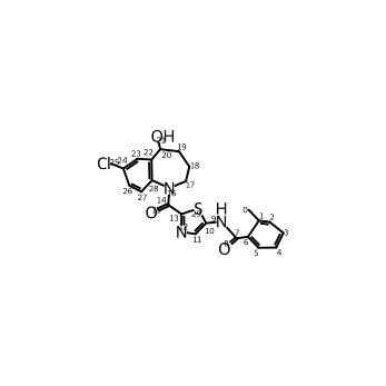 Cc1ccccc1C(=O)Nc1cnc(C(=O)N2CCCC(O)c3cc(Cl)ccc32)s1